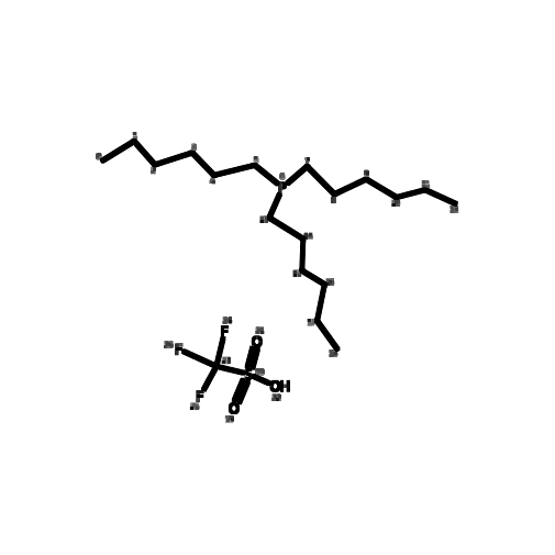 CCCCCCP(CCCCCC)CCCCCC.O=S(=O)(O)C(F)(F)F